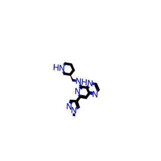 Cn1cc(-c2cc3nccnc3c(NC[C@@H]3CCCNC3)n2)cn1